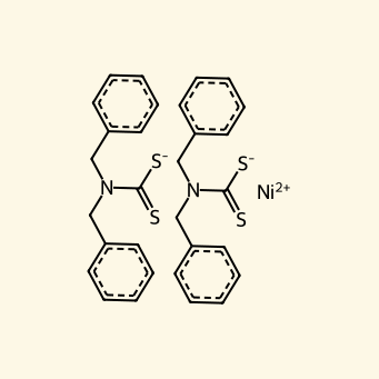 S=C([S-])N(Cc1ccccc1)Cc1ccccc1.S=C([S-])N(Cc1ccccc1)Cc1ccccc1.[Ni+2]